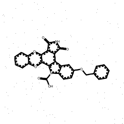 O=C(O)n1c2ccc(OCc3ccccc3)cc2c2c3c(=O)[nH]c(=O)c3c3oc4ccccc4oc3c21